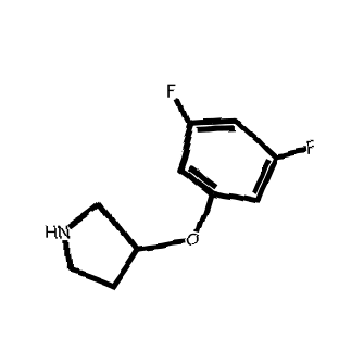 Fc1cc(F)cc(OC2CCNC2)c1